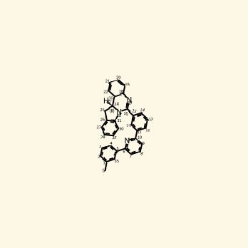 Cc1cccc(-c2cccc(-c3cccc(C4=NC5C=CC=CC5[C@H]5Cc6ccccc6N45)c3)n2)c1